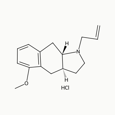 C=CCN1CC[C@H]2Cc3c(cccc3OC)C[C@@H]21.Cl